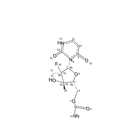 CCCC(=O)OC[C@H]1O[C@@H](n2c(=O)cc[nH]c2=O)[C@](C)(F)[C@@]1(C)O